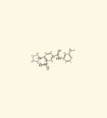 COc1cccc(NC(=O)c2ccc(N3CCCC3)c([N+](=O)[O-])c2)c1